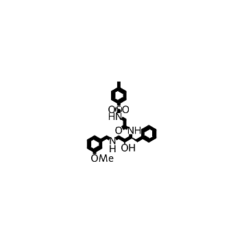 COc1cccc(CNC[C@@H](O)[C@H](Cc2ccccc2)NC(=O)CNS(=O)(=O)c2ccc(C)cc2)c1